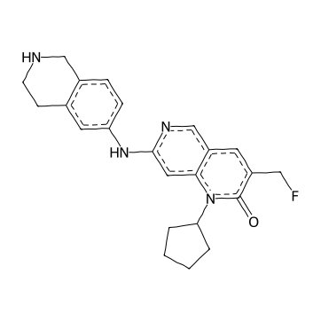 O=c1c(CF)cc2cnc(Nc3ccc4c(c3)CCNC4)cc2n1C1CCCC1